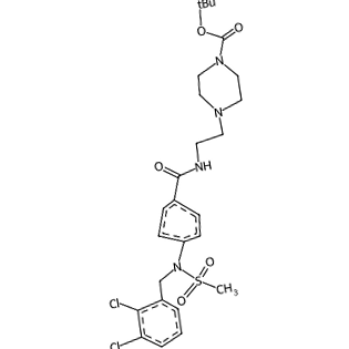 CC(C)(C)OC(=O)N1CCN(CCNC(=O)c2ccc(N(Cc3cccc(Cl)c3Cl)S(C)(=O)=O)cc2)CC1